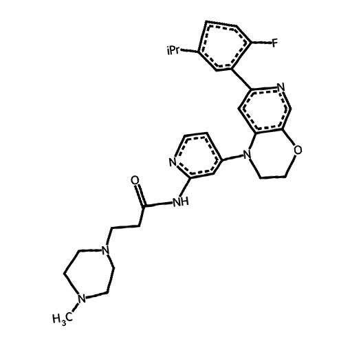 CC(C)c1ccc(F)c(-c2cc3c(cn2)OCCN3c2ccnc(NC(=O)CCN3CCN(C)CC3)c2)c1